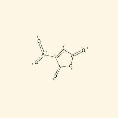 O=C1C=C([As](=O)=O)C(=O)O1